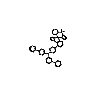 CC1(C)c2ccccc2C2(c3ccccc3-c3c(-c4ccc(N(c5ccc(-c6ccccc6)cc5)c5cccc(-c6ccccc6)c5)cc4)cccc32)c2ccccc21